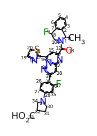 C[C@@H]1c2ccccc2C(F)CN1C(=O)c1cc(-c2nccs2)n2nc(-c3ccc(N4CC[C@H](C(=O)O)C4)cc3F)cc2n1